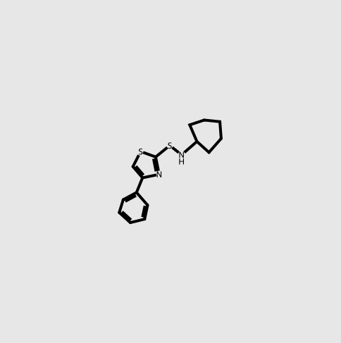 c1ccc(-c2csc(SNC3CCCCC3)n2)cc1